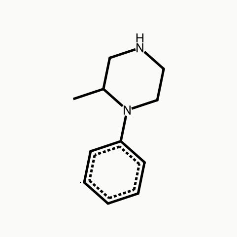 CC1CNCCN1c1c[c]ccc1